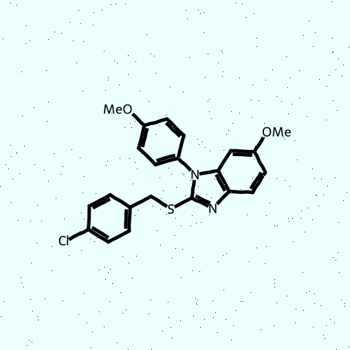 COc1ccc(-n2c(SCc3ccc(Cl)cc3)nc3ccc(OC)cc32)cc1